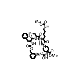 COC(=O)C1(NC(=O)OC(C)(C)C)CCN(NC(=O)C(CCCCNC(=O)OC(C)(C)C)NC(=O)C(CC(C)C)NC(=O)C(Cc2ccccc2)NC(=O)OCc2ccccc2)CC1